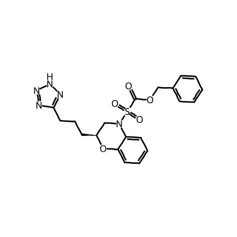 O=C(OCc1ccccc1)S(=O)(=O)N1C[C@H](CCCc2nn[nH]n2)Oc2ccccc21